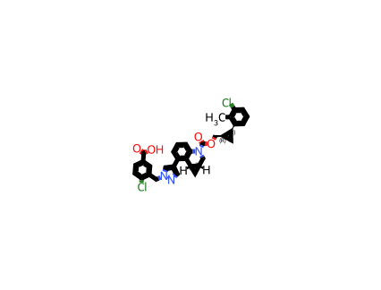 Cc1c(Cl)cccc1[C@@H]1C[C@H]1COC(=O)N1C[C@@H]2C[C@@H]2c2c(-c3cnn(Cc4cc(C(=O)O)ccc4Cl)c3)cccc21